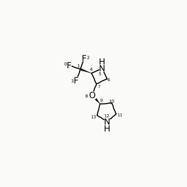 FC(F)(F)[C@H]1NCC1O[C@H]1CCNC1